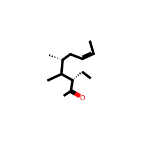 C/C=C\C[C@@H](C)C(C)[C@H](CC)C(C)=O